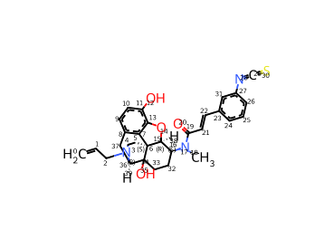 C=CCN1CC[C@]23c4c5ccc(O)c4O[C@H]2[C@@H](N(C)C(=O)C=Cc2cccc(N=C=S)c2)CCC3(O)[C@H]1C5